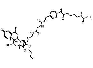 CCCC1OC2CC3C4C[C@H](F)C5=CC(=O)C=CC5(C)[C@@]4(F)C(O)CC3(C)C2(C(=O)COCNC(=O)CNC(=O)OCc2ccc(NC(=O)CCCCNC(N)=O)cc2)O1